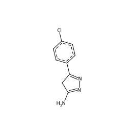 NC1=NN=C(c2ccc(Cl)cc2)C1